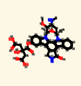 CN[C@H]1C[C@@H]2O[C@](C)([C@H]1OC)n1c3ccccc3c3c4c(c5c6ccccc6n2c5c31)C(=O)NC4.O=C(O)CC(O)(CC(=O)O)C(=O)O